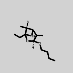 CCCCO[C@H]1OC2(CC)NC(C1C)[C@H]2C